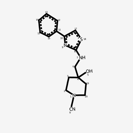 N#CN1CCC(O)(CNc2nc(-c3ccccc3)cs2)CC1